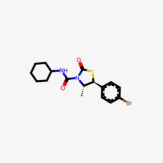 C[C@H]1[C@H](c2ccc(Br)cc2)SC(=O)N1C(=O)NC1CCCCC1